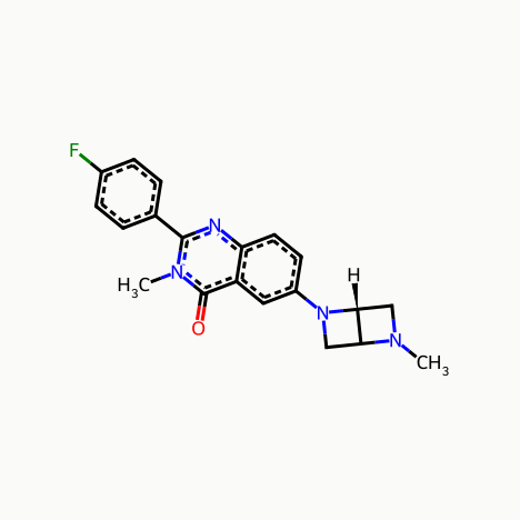 CN1C[C@@H]2C1CN2c1ccc2nc(-c3ccc(F)cc3)n(C)c(=O)c2c1